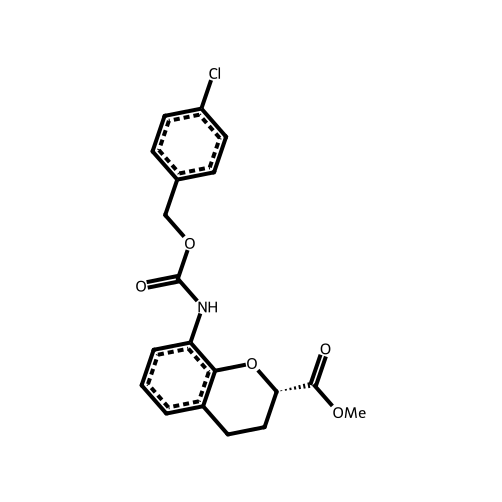 COC(=O)[C@@H]1CCc2cccc(NC(=O)OCc3ccc(Cl)cc3)c2O1